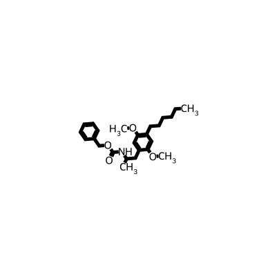 CCCCCCc1cc(OC)c(CC(C)NC(=O)OCc2ccccc2)cc1OC